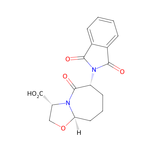 O=C(O)[C@H]1CO[C@@H]2CCC[C@@H](N3C(=O)c4ccccc4C3=O)C(=O)N12